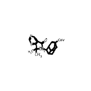 CC(C)(C)c1ncncc1C(=O)NC1C2CC3CC1CC(O)(C3)C2